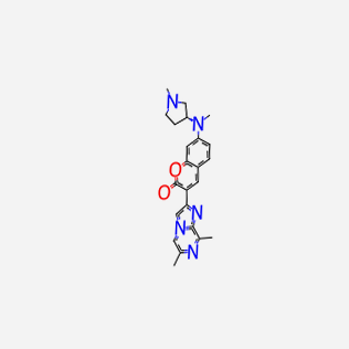 Cc1cn2cc(-c3cc4ccc(N(C)[C@H]5CCN(C)C5)cc4oc3=O)nc2c(C)n1